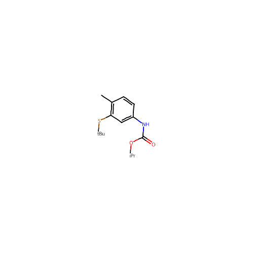 Cc1ccc(NC(=O)OC(C)C)cc1SC(C)(C)C